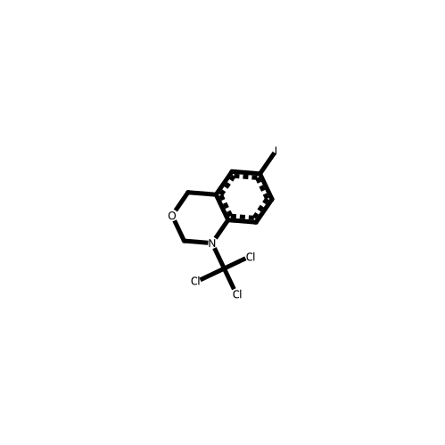 ClC(Cl)(Cl)N1COCc2cc(I)ccc21